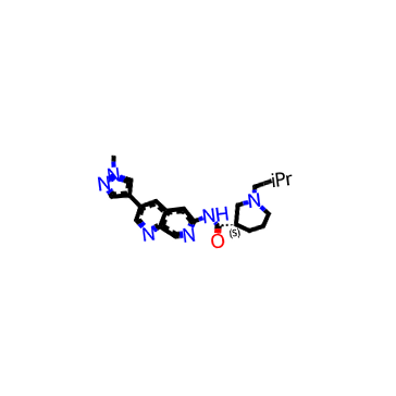 CC(C)CN1CCC[C@H](C(=O)Nc2cc3cc(-c4cnn(C)c4)cnc3cn2)C1